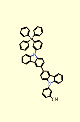 N#Cc1cccc(-n2c3ccccc3c3cc(-c4ccc5c(c4)c4ccccc4n5-c4cccc([Si](c5ccccc5)(c5ccccc5)c5ccccc5)c4)ccc32)c1